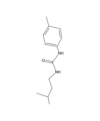 Cc1ccc(NC(=O)NCCC(C)C)cc1